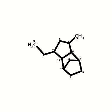 CCC1CC(C)C2C3CCC(C3)C12